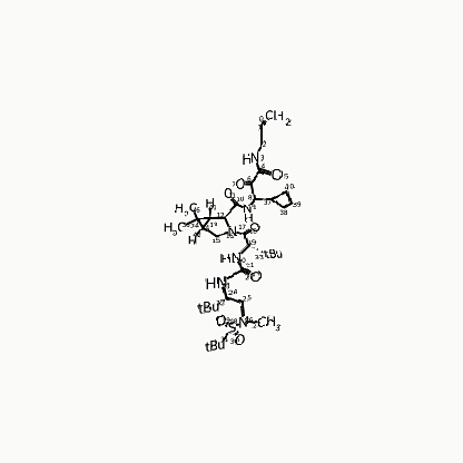 C=CCNC(=O)C(=O)C(NC(=O)[C@@H]1[C@@H]2[C@H](CN1C(=O)[C@@H](NC(=O)N[C@H](CN(C)S(=O)(=O)C(C)(C)C)C(C)(C)C)C(C)(C)C)C2(C)C)C1CCC1